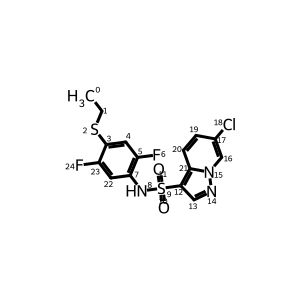 CCSc1cc(F)c(NS(=O)(=O)c2cnn3cc(Cl)ccc23)cc1F